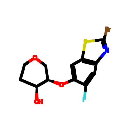 O[C@H]1CCOC[C@H]1Oc1cc2sc(Br)nc2cc1F